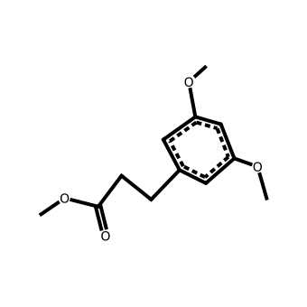 COC(=O)CCc1cc(OC)cc(OC)c1